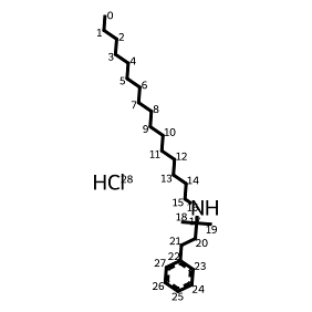 CCCCCCCCCCCCCCCCNC(C)(C)CCc1ccccc1.Cl